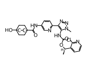 C[C@@H](OC(=O)Nc1c(-c2ccc(NC(=O)C34CCC(O)(CC3)CC4)cn2)nnn1C)c1cccnc1Cl